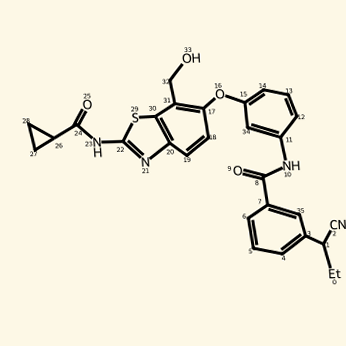 CCC(C#N)c1cccc(C(=O)Nc2cccc(Oc3ccc4nc(NC(=O)C5CC5)sc4c3CO)c2)c1